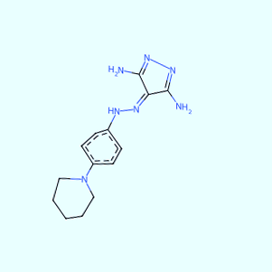 NC1=NN=C(N)C1=NNc1ccc(N2CCCCC2)cc1